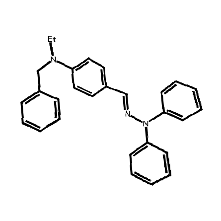 CCN(Cc1ccccc1)c1ccc(C=NN(c2ccccc2)c2ccccc2)cc1